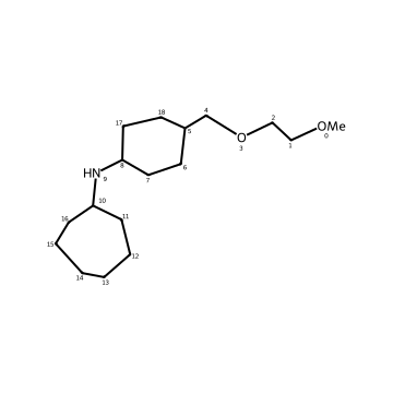 COCCOCC1CCC(NC2CCCCCC2)CC1